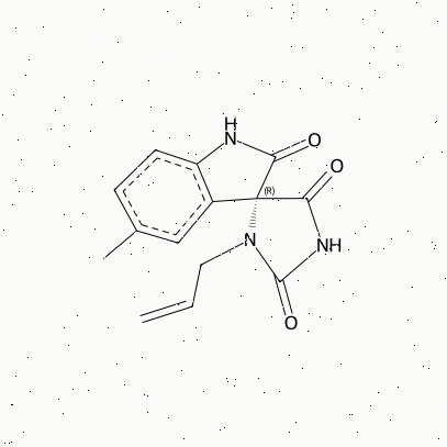 C=CCN1C(=O)NC(=O)[C@@]12C(=O)Nc1ccc(C)cc12